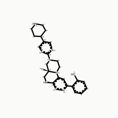 Oc1ccccc1-c1cc2c(nn1)NC[C@@H]1CN(c3ncc(C4CCNCC4)cn3)CCN21